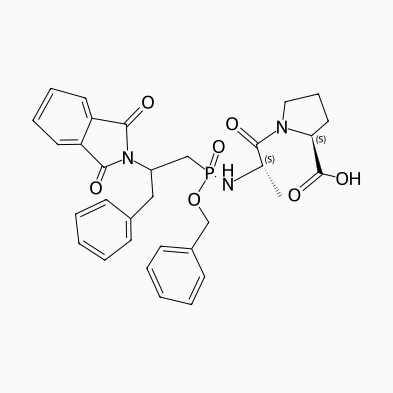 C[C@H](NP(=O)(CC(Cc1ccccc1)N1C(=O)c2ccccc2C1=O)OCc1ccccc1)C(=O)N1CCC[C@H]1C(=O)O